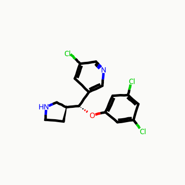 Clc1cc(Cl)cc(O[C@@H](c2cncc(Cl)c2)[C@H]2CCNC2)c1